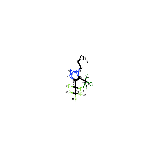 CCCn1nnc(C(F)(F)C(F)(F)F)c1C(Cl)(Cl)Cl